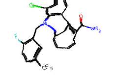 NC(=O)c1cccc2c1c1[c]ccc(Cl)c1n2Cc1cc(C(F)(F)F)ccc1F